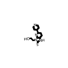 OCCn1c(=S)[nH]c2ccc(-c3ccncc3)nc21